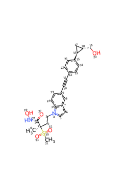 C[C@@](CCn1ccc2cc(C#Cc3ccc([C@H]4C[C@@H]4CO)cc3)ccc21)(C(=O)NO)S(C)(=O)=O